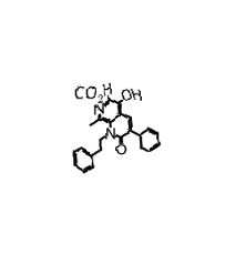 Cc1nc(C(=O)O)c(O)c2cc(-c3ccccc3)c(=O)n(CCc3ccccc3)c12